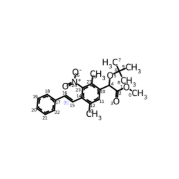 COC(=O)C(OC(C)(C)C)c1cc(C)c(/C=C/c2ccccc2)c([N+](=O)[O-])c1C